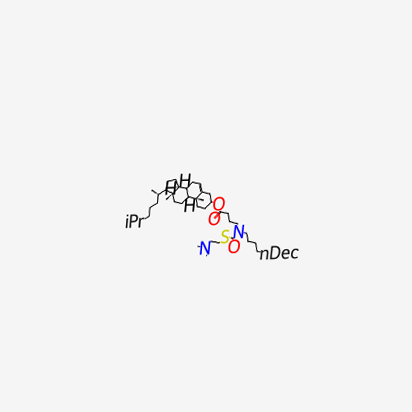 CCCCCCCCCCCCCCN(CCCC(=O)O[C@H]1CC[C@@]2(C)C(=CC[C@H]3[C@@H]4CC[C@H]([C@H](C)CCCC(C)C)[C@@]4(C)CC[C@@H]32)C1)C(=O)SCCN(C)C